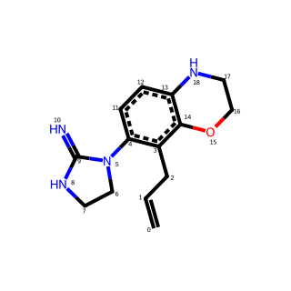 C=CCc1c(N2CCNC2=N)ccc2c1OCCN2